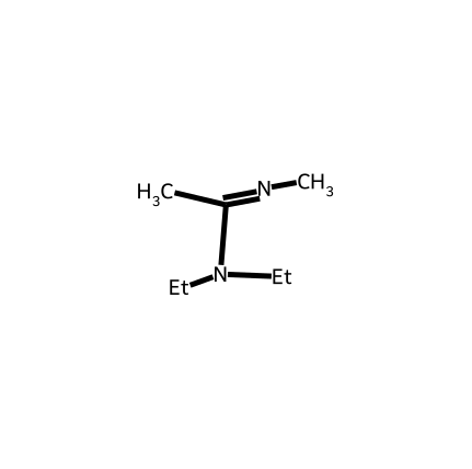 CCN(CC)/C(C)=N\C